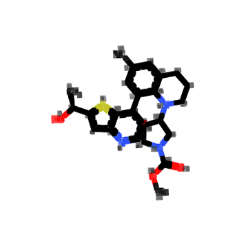 C[C@H](O)c1cc2nccc(-c3cc(C#N)cc4c3N(C3CCN(C(=O)OC(C)(C)C)C3)CCC4)c2s1